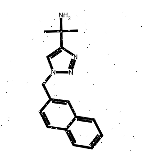 CC(C)(N)c1cn(Cc2ccc3ccccc3c2)nn1